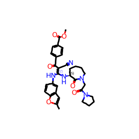 COC(=O)c1ccc(C(=O)/C(C#N)=C(\Nc2ccc3oc(C)cc3c2)N[C@H]2CCCCN(CC(=O)N3CCCC3)C2=O)cc1